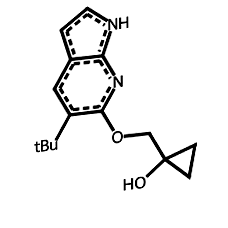 CC(C)(C)c1cc2cc[nH]c2nc1OCC1(O)CC1